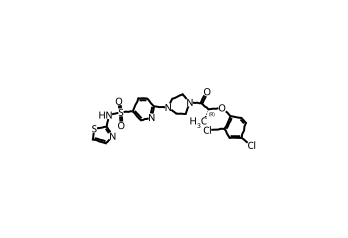 C[C@@H](Oc1ccc(Cl)cc1Cl)C(=O)N1CCN(c2ccc(S(=O)(=O)Nc3nccs3)cn2)CC1